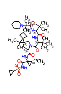 C=C[C@@H]1C[C@]1(NC(=O)[C@@H]1C[C@@]2(CN1C(=O)[C@@H](NC(=O)[C@@H](NC(=O)C(C)(C)N1CCCCC1)C(C)(C)C)C(C)(C)C)C(C)(C)C21CCC1)C(=O)NS(=O)(=O)C1CC1